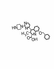 Cc1c(C(=O)O)nc2c(OCc3ccccc3)cccc2c1-c1ccnc(N2CCNCC2)n1